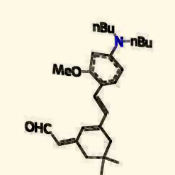 CCCCN(CCCC)c1ccc(/C=C/C2=CC(=CC=O)CC(C)(C)C2)c(OC)c1